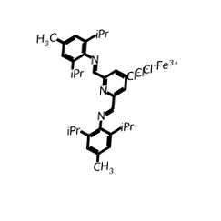 Cc1cc(C(C)C)c(N=Cc2cccc(C=Nc3c(C(C)C)cc(C)cc3C(C)C)n2)c(C(C)C)c1.[Cl-].[Cl-].[Cl-].[Fe+3]